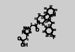 O=C(O)Cc1cn(CC(=O)N2CCc3c(n(Cc4cccc(F)c4)c4ncccc34)C2)nn1